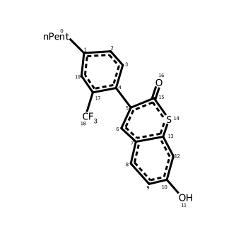 CCCCCc1ccc(-c2cc3ccc(O)cc3sc2=O)c(C(F)(F)F)c1